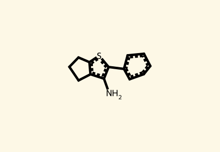 Nc1c(-c2ccccc2)sc2c1CCC2